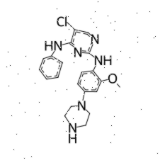 COc1cc(N2CCNCC2)ccc1Nc1ncc(Cl)c(Nc2ccccc2)n1